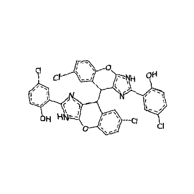 Oc1ccc(Cl)cc1-c1nc2c([nH]1)Oc1ccc(Cl)cc1C2C1c2cc(Cl)ccc2Oc2[nH]c(-c3cc(Cl)ccc3O)nc21